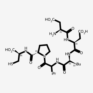 CC[C@H](C)[C@H](NC(=O)[C@H](CC(=O)O)NC(=O)[C@@H](N)CC(=O)O)C(=O)NC(C(=O)N1CCC[C@H]1C(=O)N[C@@H](CS)C(=O)O)C(C)C